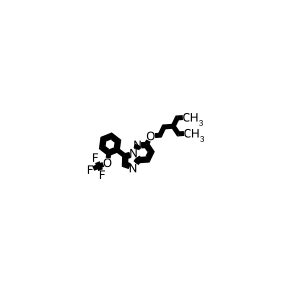 CC[C](CC)CCOc1ccc2ncc(-c3ccccc3OC(F)(F)F)n2n1